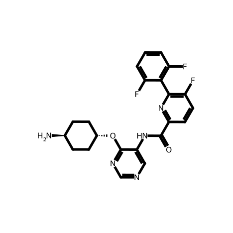 N[C@H]1CC[C@H](Oc2ncncc2NC(=O)c2ccc(F)c(-c3c(F)cccc3F)n2)CC1